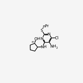 CCCSc1nc(Cl)c(N)c(NC2CCC[C@H]2O)n1